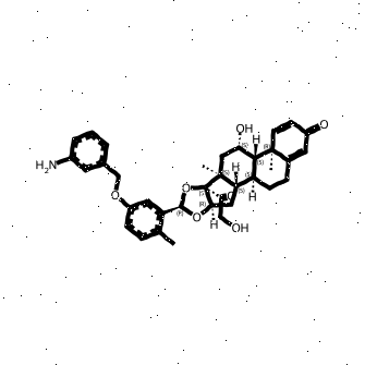 Cc1ccc(OCc2cccc(N)c2)cc1[C@@H]1O[C@@H]2C[C@H]3[C@@H]4CCC5=CC(=O)C=C[C@]5(C)[C@H]4[C@@H](O)C[C@]3(C)[C@]2(C(=O)CO)O1